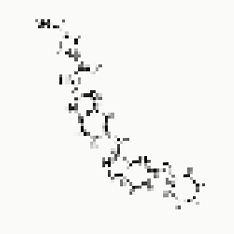 COC1CN(C(=O)Nc2nc3ccc(Sc4nnc5ccc(OC6CCCCC6)nn45)cc3s2)C1